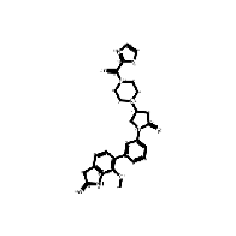 COc1c(-c2cccc(N3CC(N4CCN(C(=O)c5nccs5)CC4)CC3=O)c2)ccc2c1NC(=O)C2